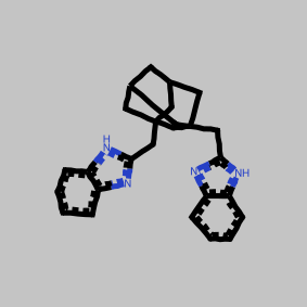 c1ccc2[nH]c(CC34CC5CC(C3)CC(Cc3nc6ccccc6[nH]3)(C5)C4)nc2c1